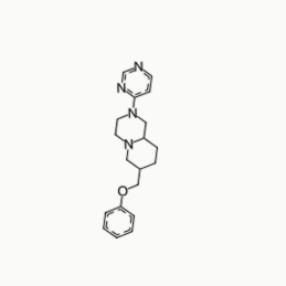 c1ccc(OCC2CCC3CN(c4ccncn4)CCN3C2)cc1